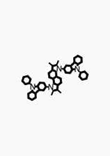 Cc1c(C)n(-c2ccc3c(c2)c2ccccc2n3-c2ccccc2)c2c1ccc1c2ccc2c(C)c(C)n(-c3ccc4c(c3)c3ccccc3n4-c3ccccc3)c21